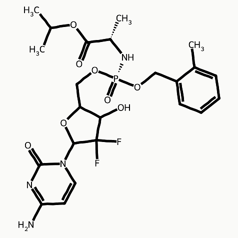 Cc1ccccc1CO[P@](=O)(N[C@@H](C)C(=O)OC(C)C)OCC1OC(n2ccc(N)nc2=O)C(F)(F)C1O